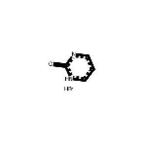 Br.O=c1nccc[nH]1